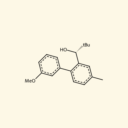 COc1cccc(-c2ccc(C)cc2[C@H](O)C(C)(C)C)c1